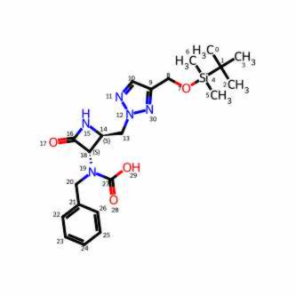 CC(C)(C)[Si](C)(C)OCc1cnn(C[C@@H]2NC(=O)[C@H]2N(Cc2ccccc2)C(=O)O)n1